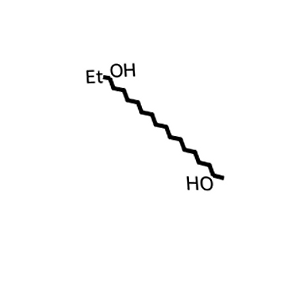 CCC(O)CCCCCCCCCCCCCCC(C)O